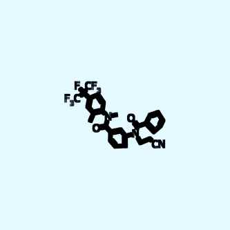 Cc1cc(C(F)(C(F)(F)F)C(F)(F)F)ccc1N(C)C(=O)c1cccc(N(CCC#N)C(=O)c2ccccc2)c1